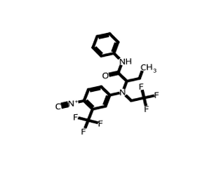 [C-]#[N+]c1ccc(N(CC(F)(F)F)C(CC)C(=O)Nc2ccccc2)cc1C(F)(F)F